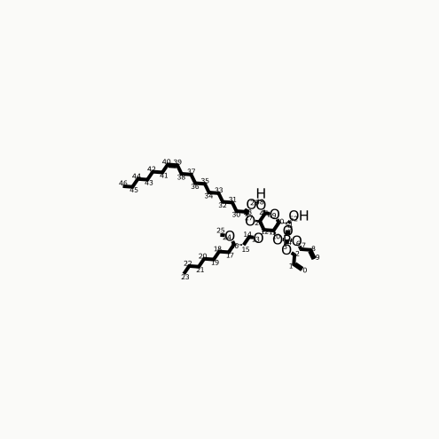 C=CCOP(=O)(OCC=C)O[C@H]1[C@H](OCC[C@H](CCCCCCC)OC)[C@@H](OC(=O)CCCCCCCCC/C=C\CCCCCC)[C@@H](O)O[C@@H]1CO